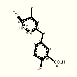 Cc1cc(Cc2ccc(F)c(C(=O)O)c2)n[nH]c1=O